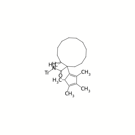 C=C1CCCCCCCCCCC1(C(=O)[NH][Ti])C1=C(C)C(C)=C(C)C1C